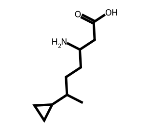 CC(CCC(N)CC(=O)O)C1CC1